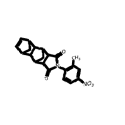 Cc1cc([N+](=O)[O-])ccc1N1C(=O)C2C3CC(C2C1=O)C1C2C=CC(C2)C31